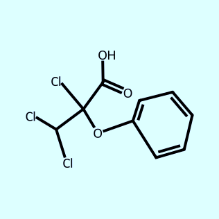 O=C(O)C(Cl)(Oc1ccccc1)C(Cl)Cl